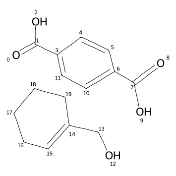 O=C(O)c1ccc(C(=O)O)cc1.OCC1=CCCCC1